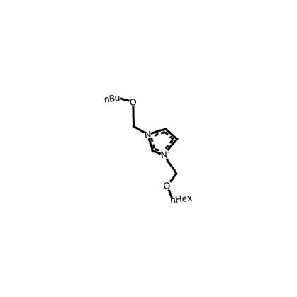 CCCCCCOC[n+]1ccn(COCCCC)c1